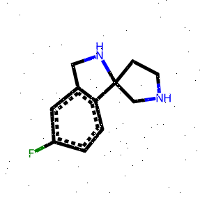 Fc1ccc2c(c1)CNC21CCNC1